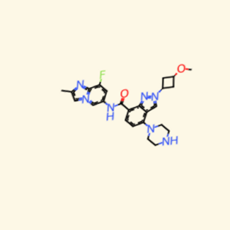 CO[C@H]1C[C@@H](n2cc3c(N4CCNCC4)ccc(C(=O)Nc4cc(F)c5nc(C)cn5c4)c3n2)C1